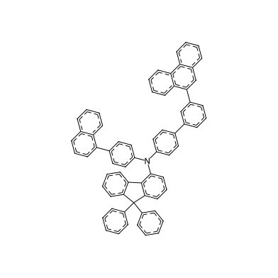 c1ccc(C2(c3ccccc3)c3ccccc3-c3c(N(c4ccc(-c5cccc(-c6cc7ccccc7c7ccccc67)c5)cc4)c4ccc(-c5cccc6ccccc56)cc4)cccc32)cc1